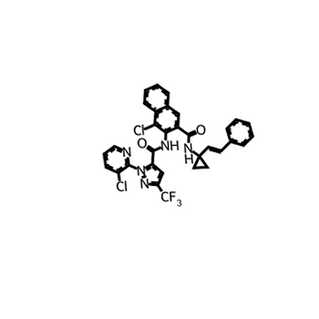 O=C(NC1(/C=C/c2ccccc2)CC1)c1cc2ccccc2c(Cl)c1NC(=O)c1cc(C(F)(F)F)nn1-c1ncccc1Cl